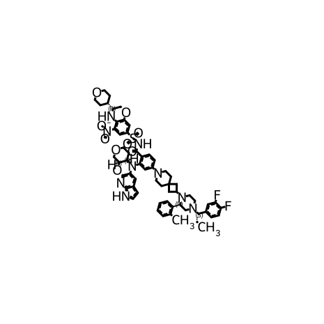 CC[C@@H](c1ccc(F)c(F)c1)N1CCN(C2CC3(CCN(c4ccc(C(=O)NS(=O)(=O)c5cc6c(c([N+](=O)[O-])c5)N[C@H](C5CCOCC5)CO6)c(N5c6cc7cc[nH]c7nc6O[C@H]6COCC[C@@H]65)c4)CC3)C2)[C@H](c2ccccc2C)C1